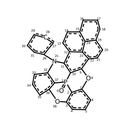 O=P12c3c4cccc3Oc3c1c(c1ccc5cccc6ccc3c1c65)N(c1ccccc1)c1cccc(c12)O4